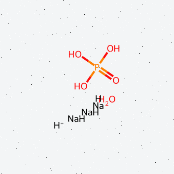 O.O=P(O)(O)O.[H+].[NaH].[NaH].[NaH]